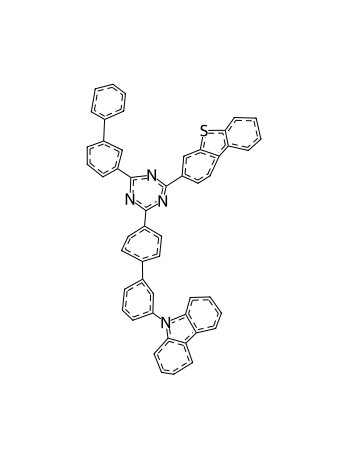 c1ccc(-c2cccc(-c3nc(-c4ccc(-c5cccc(-n6c7ccccc7c7ccccc76)c5)cc4)nc(-c4ccc5c(c4)sc4ccccc45)n3)c2)cc1